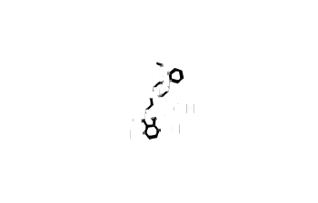 CCOc1ccccc1N1CCN(CCCN2C(=O)C3C(O)C=CC(O)C3C2=O)CC1.Cl